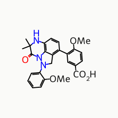 COc1ccc(C(=O)O)cc1-c1ccc2c3c1CN(c1ccccc1OC)N3C(=O)C(C)(C)N2